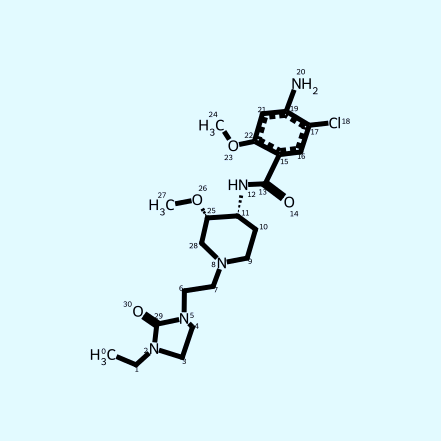 CCN1CCN(CCN2CC[C@@H](NC(=O)c3cc(Cl)c(N)cc3OC)[C@@H](OC)C2)C1=O